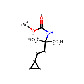 CCOC(=O)C(CCC1CC1)(NC(=O)OC(C)(C)C)C(=O)O